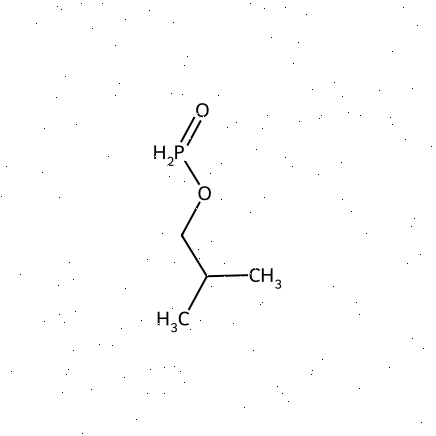 CC(C)CO[PH2]=O